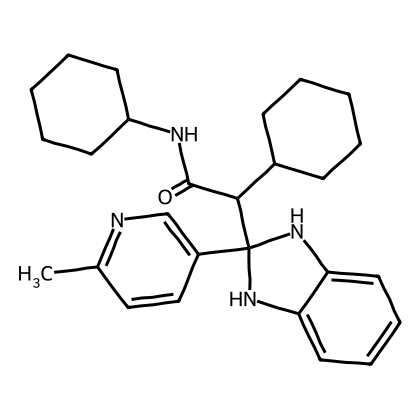 Cc1ccc(C2(C(C(=O)NC3CCCCC3)C3CCCCC3)Nc3ccccc3N2)cn1